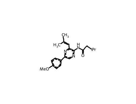 COc1ccc(-c2cnc(NC(=O)CC(C)C)c(C=C(C)C)n2)cc1